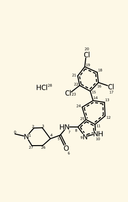 CN1CCC(C(=O)Nc2n[nH]c3ccc(-c4c(Cl)cc(Cl)cc4Cl)cc23)CC1.Cl